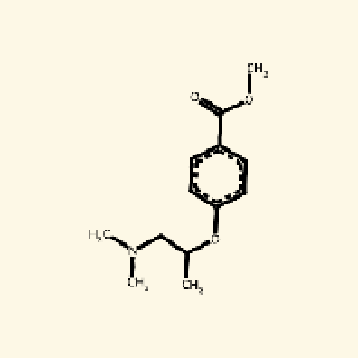 COC(=O)c1ccc(OC(C)CN(C)C)cc1